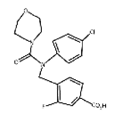 O=C(O)c1ccc(CN(C(=O)N2CCOCC2)c2ccc(Cl)cc2)c(F)c1